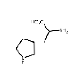 C1CCNC1.CC(N)C(=O)O